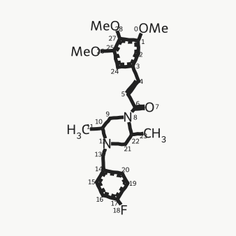 COc1cc(C=CC(=O)N2CC(C)N(Cc3ccc(F)cc3)CC2C)cc(OC)c1OC